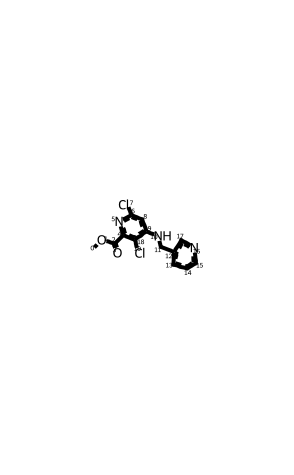 COC(=O)c1nc(Cl)cc(NCc2cccnc2)c1Cl